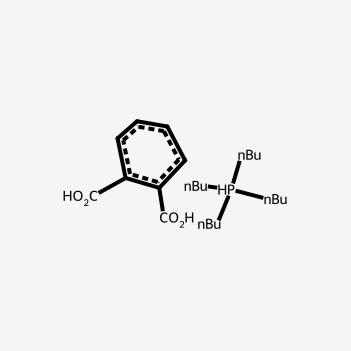 CCCC[PH](CCCC)(CCCC)CCCC.O=C(O)c1ccccc1C(=O)O